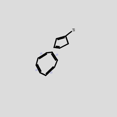 C1=C\C=C/C=C\C=C/1.[Ti][C]1=CC=CC1